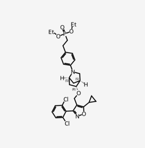 CCOP(=O)(CCc1ccc(N2C[C@@H]3C[C@H]2C[C@H]3OCc2c(-c3c(Cl)cccc3Cl)noc2C2CC2)cc1)OCC